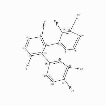 Fc1[c]cc(F)c(-c2cccc(F)c2F)c1-c1ccc(F)c(F)c1